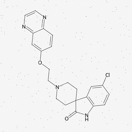 O=C1Nc2ccc(Cl)cc2C12CCN(CCOc1ccc3nccnc3c1)CC2